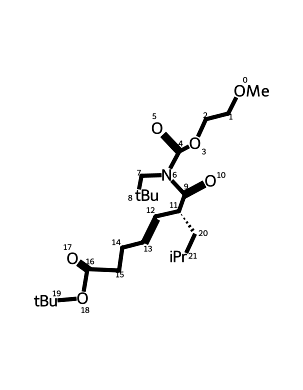 COCCOC(=O)N(CC(C)(C)C)C(=O)[C@@H](C=CCCC(=O)OC(C)(C)C)CC(C)C